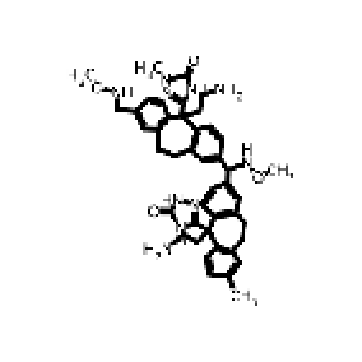 CONCc1ccc2c(c1)CCc1cc(C(NOC)c3ccc4c(c3)CCc3cc(C)ccc3C4(CCN)c3n[nH]c(=O)[nH]3)ccc1C2(CCN)c1nn(C)c(=O)[nH]1